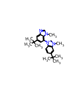 Cn1c[n+](-c2cc(C(C)(C)C)cc3ncn(C)c23)c2ccc(C(C)(C)C)cc21